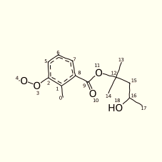 Cc1c(O[O])cccc1C(=O)OC(C)(C)CC(C)O